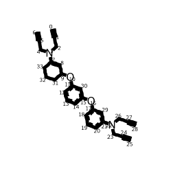 C#CCN(CC#C)C1=CC(Oc2cccc(Oc3cccc(N(CC#C)CC#C)c3)c2)CCC1